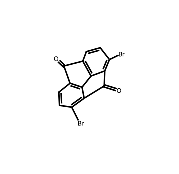 O=c1c2ccc(Br)c3c2-c2c1ccc(Br)c2c3=O